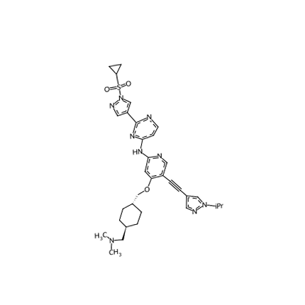 CC(C)n1cc(C#Cc2cnc(Nc3ccnc(-c4cnn(S(=O)(=O)C5CC5)c4)n3)cc2OC[C@H]2CC[C@H](CN(C)C)CC2)cn1